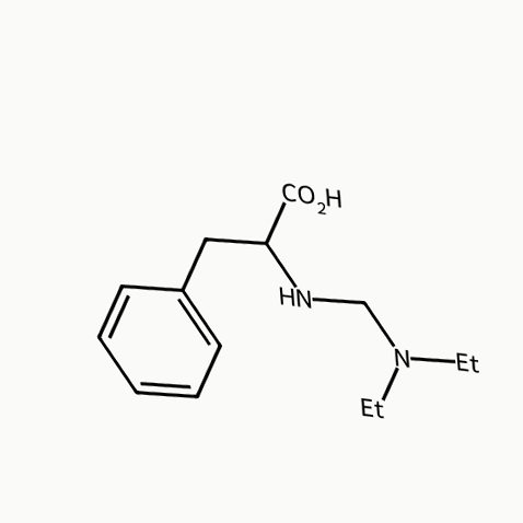 CCN(CC)CNC(Cc1ccccc1)C(=O)O